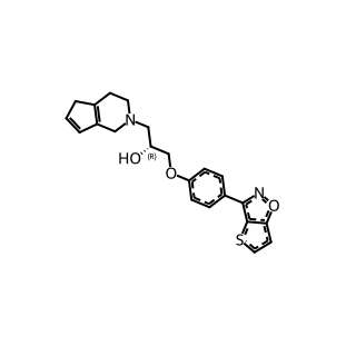 O[C@@H](COc1ccc(-c2noc3ccsc23)cc1)CN1CCC2=C(C=CC2)C1